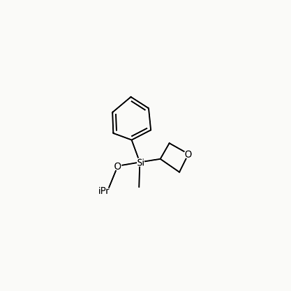 CC(C)O[Si](C)(c1ccccc1)C1COC1